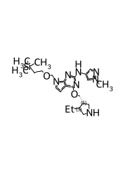 CC[C@@H]1CNC[C@H]1COc1nc(Nc2cnn(C)c2)nc2c1ccn2COCC[Si](C)(C)C